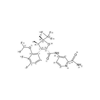 C[C@@H]1[C@@H](c2ccc(F)c(F)c2OC(F)F)[C@@H](C(=O)Nc2ccnc(C(N)=O)c2)O[C@@]1(C)C(F)(F)F